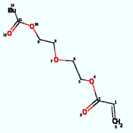 C=CC(=O)OCCOCCOC(=O)C(C)CC